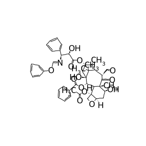 CC(=O)O[C@@]12CO[C@@H]1C[C@H](O)[C@@]1(C)C(=O)[C@H](C=O)C3=C(C)[C@@H](OC(=O)[C@H](O)[C@@H](N=COc4ccccc4)c4ccccc4)C[C@@](O)([C@@H](OC(=O)c4ccccc4)[C@H]21)C3(C)C